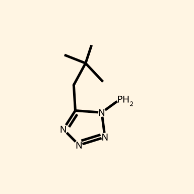 CC(C)(C)Cc1nnnn1P